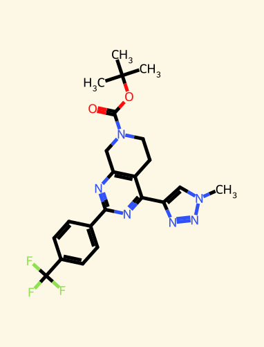 Cn1cc(-c2nc(-c3ccc(C(F)(F)F)cc3)nc3c2CCN(C(=O)OC(C)(C)C)C3)nn1